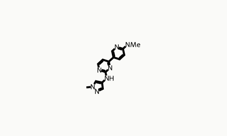 CNc1ccc(-c2ccnc(Nc3cnn(C)c3)n2)cn1